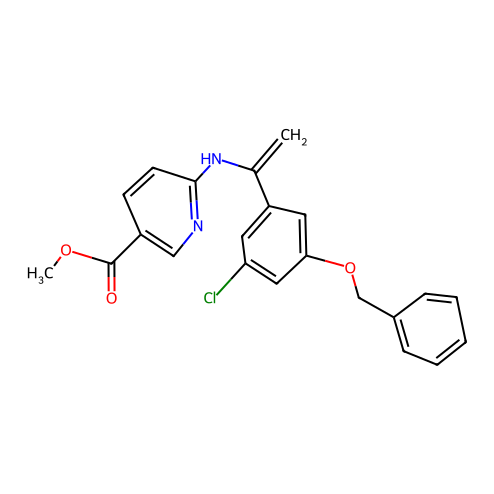 C=C(Nc1ccc(C(=O)OC)cn1)c1cc(Cl)cc(OCc2ccccc2)c1